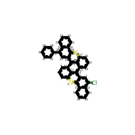 Clc1cc2c(sc3cccc4c3c2c2cccc3sc5c6ccccc6c(-c6ccccc6)cc5c4c32)c2ccccc12